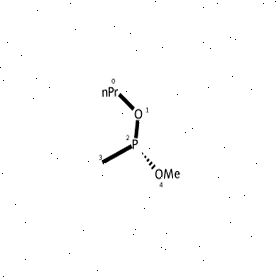 CCCO[P@@](C)OC